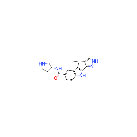 CC1(C)c2c[nH]nc2-c2[nH]c3ccc(C(=O)NC4CCNC4)cc3c21